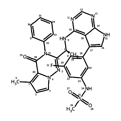 Cc1ccn2nc([C@H](C)Nc3ncnc4[nH]cc(-c5cc(F)cc(NS(C)(=O)=O)c5)c34)n(-c3ccccc3)c(=O)c12